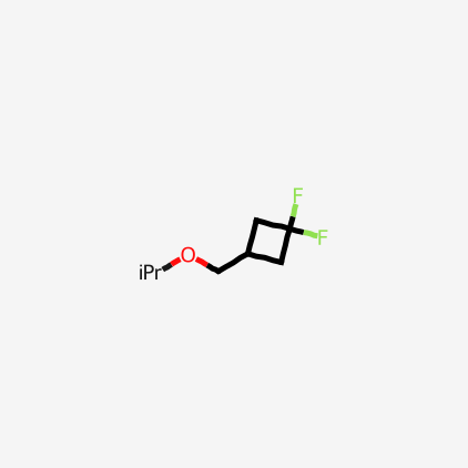 CC(C)OCC1CC(F)(F)C1